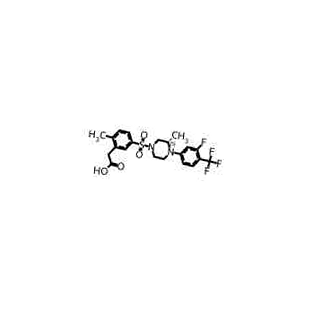 Cc1ccc(S(=O)(=O)N2CCN(c3ccc(C(F)(F)F)c(F)c3)[C@@H](C)C2)cc1CC(=O)O